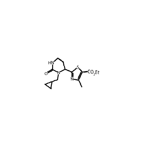 CCOC(=O)c1sc(C2CCNC(=O)N2CC2CC2)nc1C